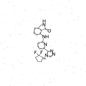 O=C1NCc2cccc(Nc3cccc(-c4nncn4[C@@H]4CCCC4(F)F)n3)c21